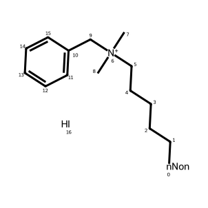 CCCCCCCCCCCCCC[N+](C)(C)Cc1ccccc1.I